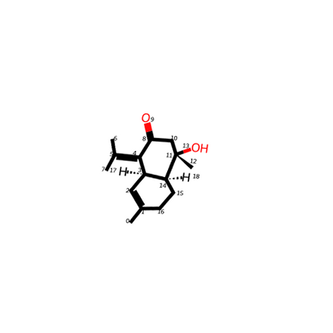 CC1=C[C@H]2C(=C(C)C)C(=O)C[C@](C)(O)[C@H]2CC1